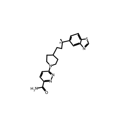 C[C@H](CCC1CCN(c2ccc(C(N)=O)nn2)CC1)c1ccc2scnc2c1